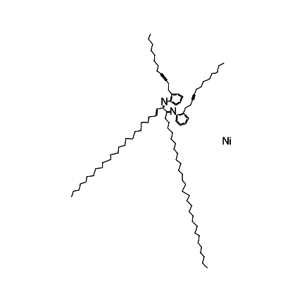 CCCCCCCCC#CCCc1ccccc1N=C(C=CCCCCCCCCCCCCCCCCCCCCCC)C(CCCCCCCCCCCCCCCCCCCCCCCCCCCCCC)=Nc1ccccc1CCC#CCCCCCCCC.[Ni]